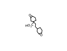 O=C(O)C1(CCC2CCC3OC3C2)CCC2OC2C1